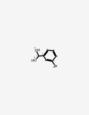 OC(O)c1cccc(Br)c1